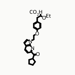 CCOC(Cc1ccc(OCCn2ccc3ccc(C(=O)C4CCCC4)nc32)cc1)C(=O)O